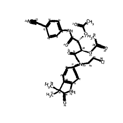 CC(=O)O[C@@H](C(=O)Nc1ccc(C#N)cc1)[C@@H](OC(C)=O)C(=O)N(CCCl)c1ccc2c(c1)NC(=O)C2(C)C